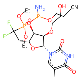 CCOP(=O)(OCC)C(F)(F)C[C@H]1O[C@@H](n2cc(C)c(=O)[nH]c2=O)[C@H](OCCO)[C@@H]1OP(N)OCCC#N